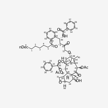 CCCCCCCCCCCCCCCC(=O)O[C@@H](C(=O)CO[C@H]1C[C@@]2(O)[C@@H](OC(=O)c3ccccc3)[C@@H]3[C@]4(OC(C)=O)CO[C@@H]4C[C@H](O)[C@@]3(C)C(=O)[C@H](OC(C)=O)C(=C1C)C2(C)C)[C@@H](NC(=O)c1ccccc1)c1ccccc1